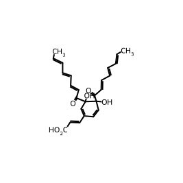 CC=CC=CC=CC(=O)C1(O)C=CC(C=CC(=O)O)=CC1(O)C(=O)C=CC=CC=CC